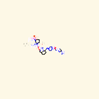 COc1c(NS(C)(=O)=O)ccc(C(C)(C)C)c1NC(=O)Oc1cc2cccc(CN3CCN(C(=O)CN4CC[C@@H](N(C)C)C4)CC3)c2n1C